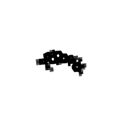 C[C@]12CC[C@@H]3c4ccc(OC(F)(F)c5ccc(F)c(F)c5F)cc4CC[C@H]3[C@@H]1CC[C@@H]2O